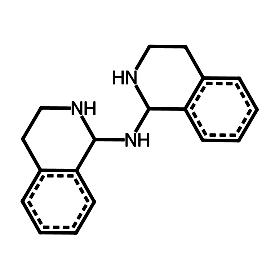 c1ccc2c(c1)CCNC2NC1NCCc2ccccc21